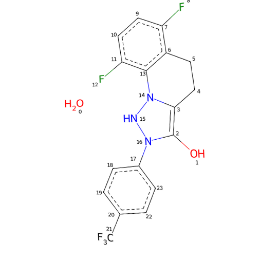 O.OC1=C2CCc3c(F)ccc(F)c3N2NN1c1ccc(C(F)(F)F)cc1